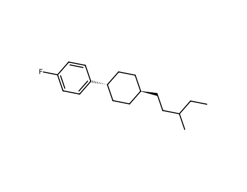 CCC(C)CC[C@H]1CC[C@H](c2ccc(F)cc2)CC1